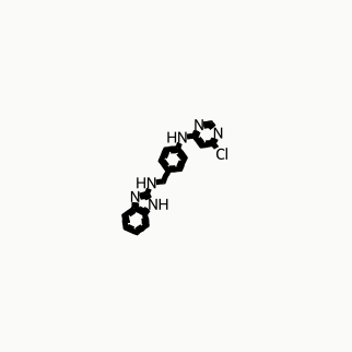 Clc1cc(Nc2ccc(CNc3nc4ccccc4[nH]3)cc2)ncn1